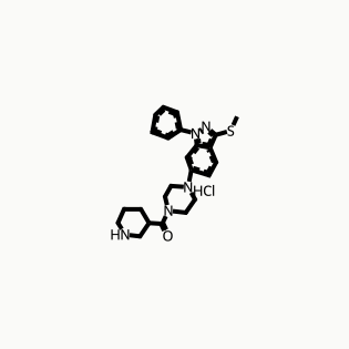 CSc1nn(-c2ccccc2)c2cc(N3CCN(C(=O)C4CCCNC4)CC3)ccc12.Cl